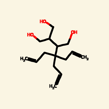 C=CCC(CC=C)(CC=C)C(CO)C(CO)CO